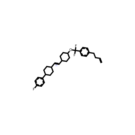 C=CCCc1ccc(C(F)(F)OC2CCC(/C=C/C3CCC(c4ccc(F)cc4)CC3)CC2)cc1